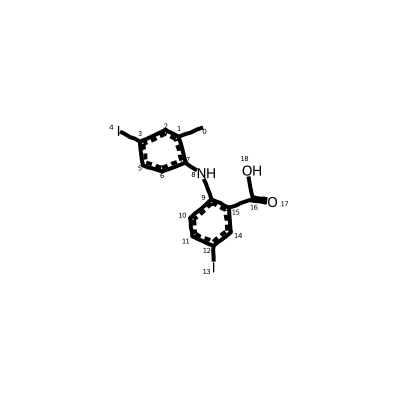 Cc1cc(I)ccc1Nc1ccc(I)cc1C(=O)O